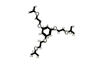 CC(C)OCCOc1cc(OCCOC(C)C)cc(OCCOC(C)C)c1